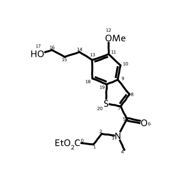 CCOC(=O)CCN(C)C(=O)c1cc2cc(OC)c(CCCO)cc2s1